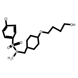 CN(CC1CCC(OCCCCO)CC1)S(=O)(=O)c1ccc(Cl)cc1